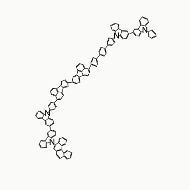 c1ccc(-n2c3ccccc3c3cc(-c4ccc5c(c4)c4ccccc4n5-c4ccc(-c5ccc(-c6ccc(-c7ccc8c9c(cccc79)-c7cc(-c9ccc%10c(c9)-c9ccc(-c%11ccc(-n%12c%13ccccc%13c%13cc(-c%14ccc%15c(c%14)c%14ccccc%14n%15-c%14cc%15ccc%16ccccc%16c%15c%15ccccc%14%15)ccc%13%12)cc%11)c%11cccc-%10c9%11)ccc7-8)cc6)cc5)cc4)ccc32)cc1